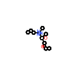 C1=C(c2nc(-c3ccccc3)nc(-c3ccc4c(ccc5ccccc54)c3)n2)c2c(oc3ccccc23)C(c2ccc3c(c2)oc2ccc4ccccc4c23)C1